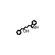 O[C@@H](CCCc1c[nH]c2ccccc12)Cc1ccccc1